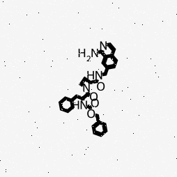 Nc1nccc2ccc(CNC(=O)C3CCN3C(=O)C(CC3CCCCC3)NC(=O)OCc3ccccc3)cc12